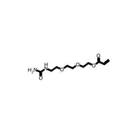 C=CC(=O)OCCOCCOCCNC(N)=O